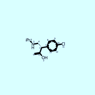 C=C(O)[C@H](CNC(C)C)c1ccc(Cl)cc1